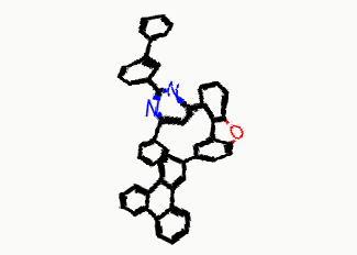 c1ccc(-c2cccc(-c3nc(-c4ccccc4)cc(-c4cccc5oc6ccc(-c7ccc8c9ccccc9c9ccccc9c8c7)cc6c45)n3)c2)cc1